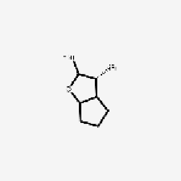 CC(C)[C@@H]1C2CCCC2OC1C(C)(C)C